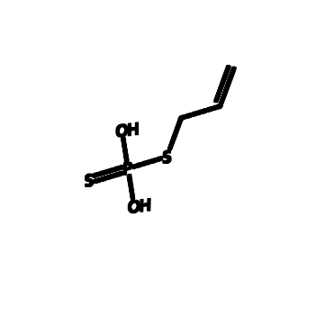 C=CCSP(O)(O)=S